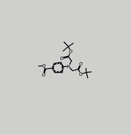 COC(=O)c1ccc(N(CC(=O)OC(C)(C)C)CC(=O)OC(C)(C)C)cc1